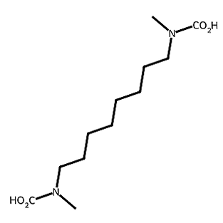 CN(CCCCCCCCN(C)C(=O)O)C(=O)O